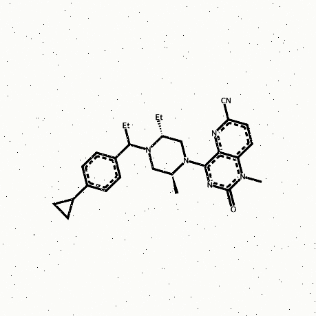 CCC(c1ccc(C2CC2)cc1)N1C[C@H](C)N(c2nc(=O)n(C)c3ccc(C#N)nc23)C[C@H]1CC